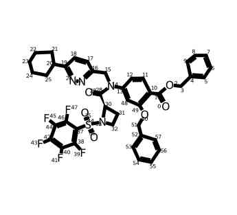 O=C(OCc1ccccc1)c1ccc(N(Cc2ccc(C3CCCCC3)nn2)C(=O)[C@H]2CCN2S(=O)(=O)c2c(F)c(F)c(F)c(F)c2F)cc1OCc1ccccc1